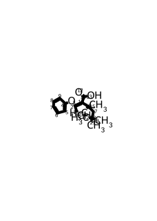 CC/C(Oc1ccccc1)=C(/C(=O)O)C(C)(C)CC(C)(C)C